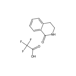 O=C(O)C(F)(F)F.O=C1NCCc2ccccc21